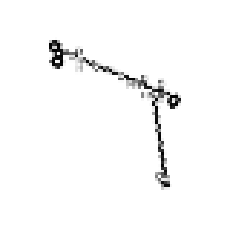 CC(C)(C)OC(=O)CCCCCCCCCCCCCCCCC(=O)N[C@@H](CCC(=O)NCCCOCCOCCOCCCNC(=O)OCC1c2ccccc2-c2ccccc21)C(=O)OCc1ccccc1